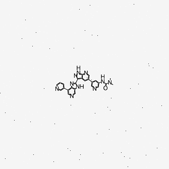 CN(C)C(=O)Nc1cncc(-c2cnc3[nH]nc(-c4nc5c(-c6cccnc6)cncc5[nH]4)c3c2)c1